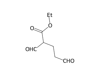 CCOC(=O)C(C=O)CCC=O